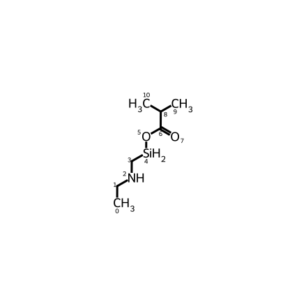 CCNC[SiH2]OC(=O)C(C)C